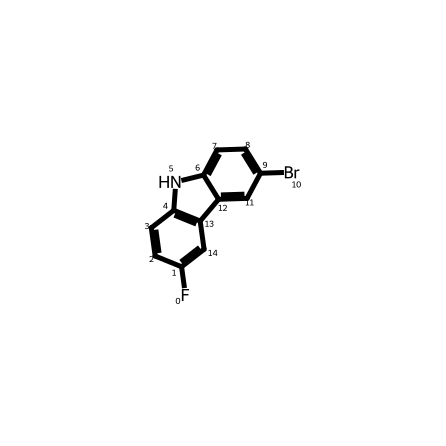 Fc1ccc2[nH]c3ccc(Br)cc3c2c1